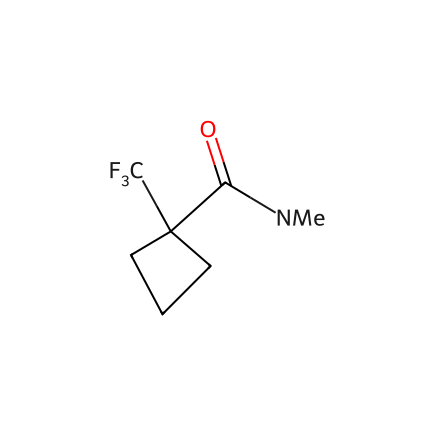 CNC(=O)C1(C(F)(F)F)CCC1